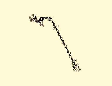 CCCCc1nc2c(N)nc3cc(CCCN4CCN(CCCCNC(=O)CCOCCOCCOCCOCCOCCOCCOCCOCCNC(=O)CC5SC[C@@H](C(=O)O)NC5=O)CC4)ccc3c2n1CC(C)(CO)CO